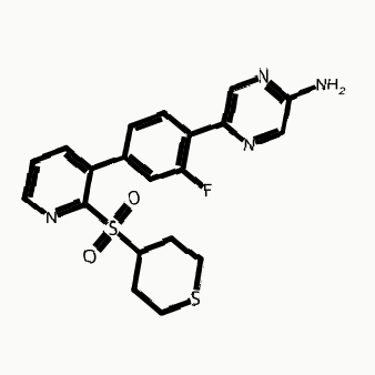 Nc1cnc(-c2ccc(-c3cccnc3S(=O)(=O)C3CCSCC3)cc2F)cn1